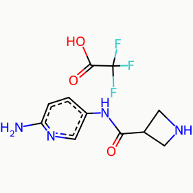 Nc1ccc(NC(=O)C2CNC2)cn1.O=C(O)C(F)(F)F